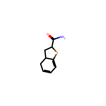 NC(=O)C1CC2CC=CC=C2S1